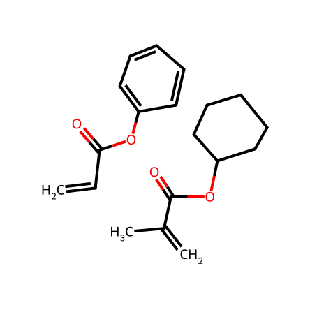 C=C(C)C(=O)OC1CCCCC1.C=CC(=O)Oc1ccccc1